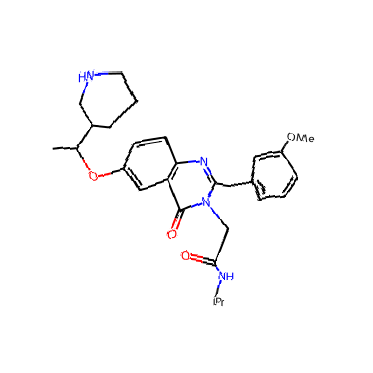 COc1cccc(-c2nc3ccc(OC(C)C4CCCNC4)cc3c(=O)n2CC(=O)NC(C)C)c1